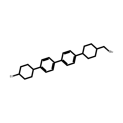 CCC(C)CC1CCC(c2ccc(-c3ccc(C4CCC(CC)CC4)cc3)cc2)CC1